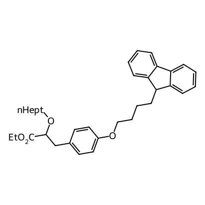 CCCCCCCOC(Cc1ccc(OCCCCC2c3ccccc3-c3ccccc32)cc1)C(=O)OCC